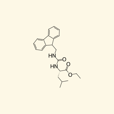 CCOC(=O)[C@H](CC(C)C)NC(=O)NCC1c2ccccc2-c2ccccc21